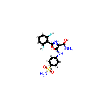 NC(=O)c1nc(-c2c(F)cccc2F)oc1Nc1ccc(S(N)(=O)=O)cc1